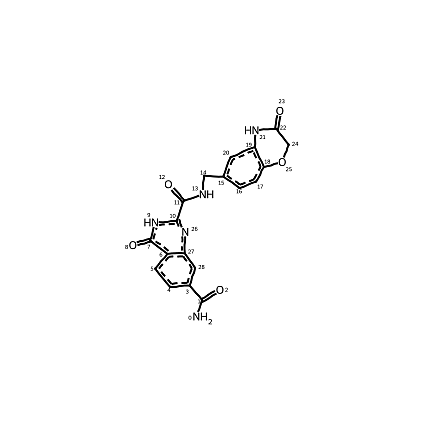 NC(=O)c1ccc2c(=O)[nH]c(C(=O)NCc3ccc4c(c3)NC(=O)CO4)nc2c1